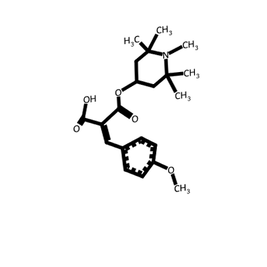 COc1ccc(C=C(C(=O)O)C(=O)OC2CC(C)(C)N(C)C(C)(C)C2)cc1